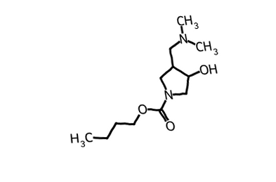 CCCCOC(=O)N1CC(O)C(CN(C)C)C1